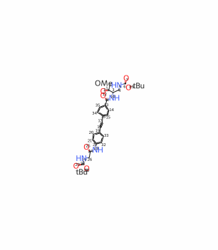 COC(=O)C(CNC(=O)OC(C)(C)C)NC(=O)c1ccc(C#Cc2ccc(NC(=O)CNC(=O)OC(C)(C)C)cc2)cc1